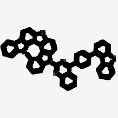 c1ccc2c(-c3ccc(-c4cccc5sc6ccccc6c45)cc3)nc(-n3c4ccc5oc6ccc7c8ccccc8n8c9cccc3c9c4c5c6c78)nc2c1